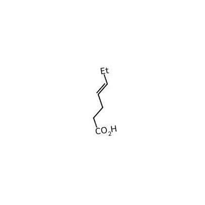 [CH2]CC=CCCC(=O)O